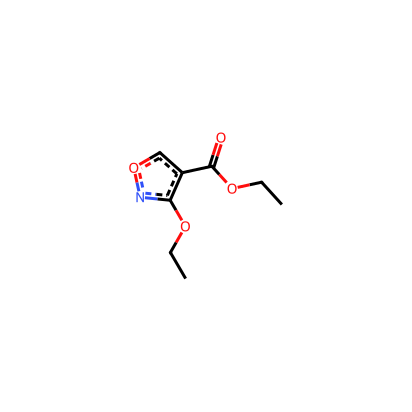 CCOC(=O)c1conc1OCC